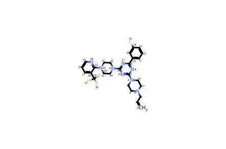 C=CCN1CCN(c2nc(-c3cccc(F)c3)nc(N3CCN(c4ncccc4C(F)(F)F)CC3)n2)CC1